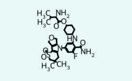 CC(C)[C@H](N)C(=O)O[C@H]1CC[C@H](Nc2cc(-n3c4c(c5c3CC(C)(C)CS5(=O)=O)COC4)cc(F)c2C(N)=O)CC1